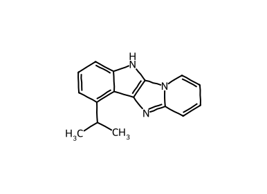 CC(C)c1cccc2[nH]c3c(nc4ccccn43)c12